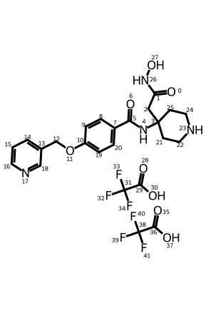 O=C(CC1(NC(=O)c2ccc(OCc3cccnc3)cc2)CCNCC1)NO.O=C(O)C(F)(F)F.O=C(O)C(F)(F)F